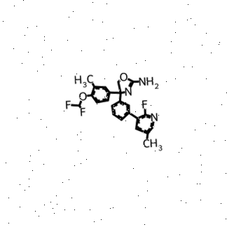 Cc1cnc(F)c(-c2cccc(C3(c4ccc(OC(F)F)c(C)c4)COC(N)=N3)c2)c1